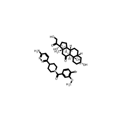 COc1cc(C(=O)N2CCC(c3ccc(N)nn3)CC2)ccc1Br.C[C@]12CC[C@@H](O)C[C@H]1CC[C@@H]1[C@@H]2C(=O)C[C@@]2(C)[C@H]1CC[C@]2(O)C(=O)CO